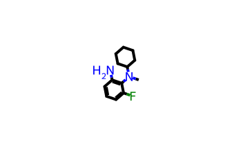 CN(c1c(N)cccc1F)C1CCCCC1